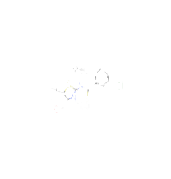 CCCCn1c2c(sc1=NC(=S)c1cc(Cl)ccc1OC)C(C)(C)COC2